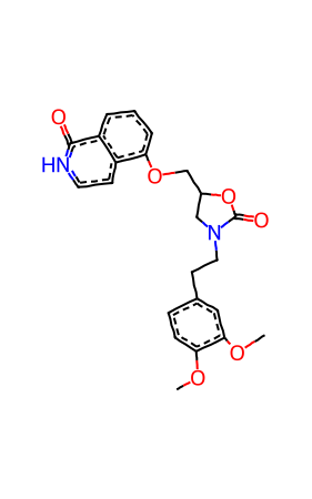 COc1ccc(CCN2CC(COc3cccc4c(=O)[nH]ccc34)OC2=O)cc1OC